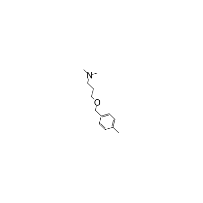 Cc1ccc(COCCCN(C)C)cc1